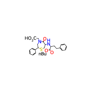 CCCCOC(=O)C(CCc1ccccc1)NC1CSC(c2ccccc2)CN(CC(=O)O)C1=O